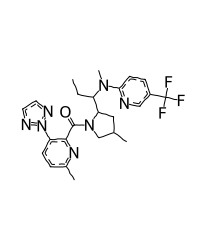 CCC(C1CC(C)CN1C(=O)c1nc(C)ccc1-n1nccn1)N(C)c1ccc(C(F)(F)F)cn1